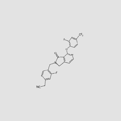 N#CCc1ccc(CN2Cc3ccnc(Oc4ccc(C(F)(F)F)cc4F)c3C2=O)c(F)c1